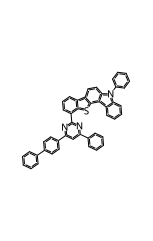 c1ccc(-c2ccc(-c3cc(-c4ccccc4)nc(-c4cccc5c4sc4c5ccc5c4c4ccccc4n5-c4ccccc4)n3)cc2)cc1